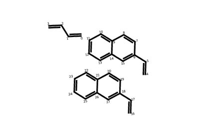 C=CC=C.C=Cc1ccc2ccccc2c1.C=Cc1ccc2ccccc2c1